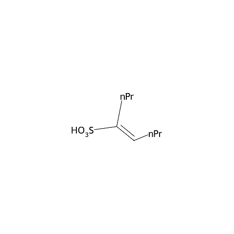 CCC/C=C(\CCC)S(=O)(=O)O